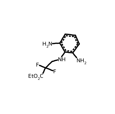 CCOC(=O)C(F)(F)CNc1c(N)cccc1N